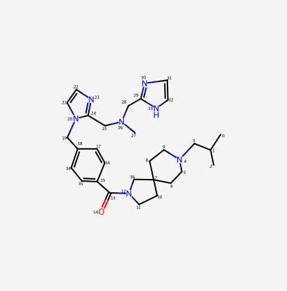 CC(C)CN1CCC2(CC1)CCN(C(=O)c1ccc(Cn3ccnc3CN(C)Cc3ncc[nH]3)cc1)C2